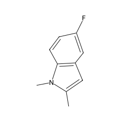 Cc1cc2cc(F)ccc2n1C